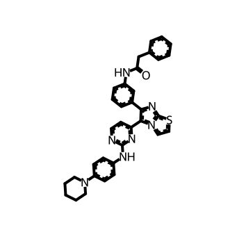 O=C(Cc1ccccc1)Nc1cccc(-c2nc3sccn3c2-c2ccnc(Nc3ccc(N4CCCCC4)cc3)n2)c1